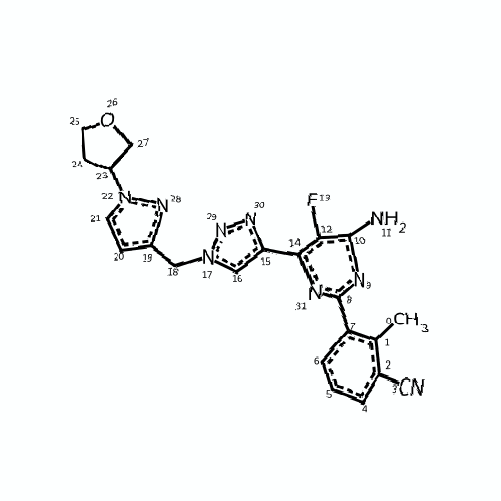 Cc1c(C#N)cccc1-c1nc(N)c(F)c(-c2cn(Cc3ccn(C4CCOC4)n3)nn2)n1